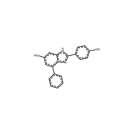 Oc1ccc(-c2nc3c(-c4ccccc4)cc(O)cc3[nH]2)cc1